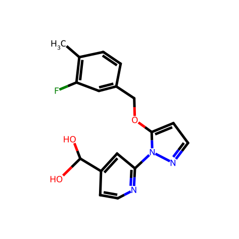 Cc1ccc(COc2ccnn2-c2cc(C(O)O)ccn2)cc1F